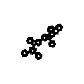 c1ccc(-c2nc(-c3ccccc3)nc(-n3c4ccccc4c4cc(-c5ccc6c7c8cccc9c8c(cc7n(-c7ccccc7)c6c5)Sc5ccccc5-9)ccc43)n2)cc1